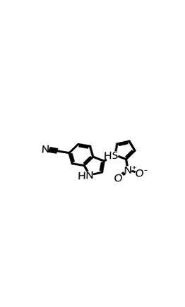 N#Cc1ccc2c([SH]3C=CC=C3[N+](=O)[O-])c[nH]c2c1